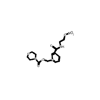 O=C(NCCO[N+](=O)[O-])c1ccc[n+](COC(=O)N2CCOCC2)c1